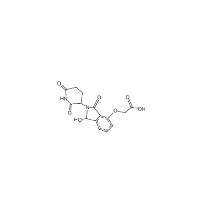 O=C(O)COc1cccc2c1C(=O)N(C1CCC(=O)NC1=O)C2O